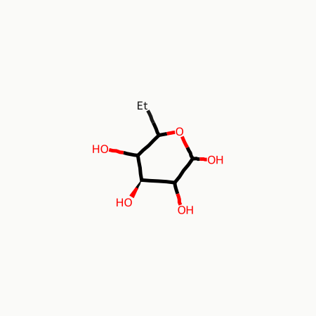 CCC1OC(O)C(O)[C@@H](O)C1O